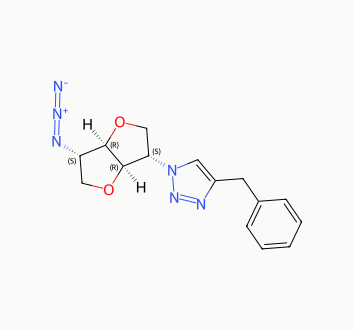 [N-]=[N+]=N[C@H]1CO[C@H]2[C@@H]1OC[C@@H]2n1cc(Cc2ccccc2)nn1